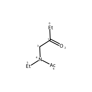 CCC(=O)CN(CC)C(C)=O